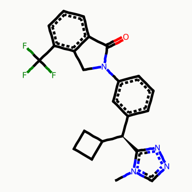 Cn1cnnc1[C@H](c1cccc(N2Cc3c(cccc3C(F)(F)F)C2=O)c1)C1CCC1